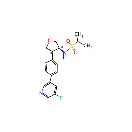 CC(C)S(=O)(=O)N[C@@H]1COC[C@@H]1c1ccc(-c2cncc(F)c2)cc1